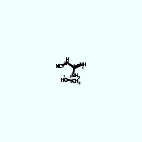 CO.N#CNC(=N)N